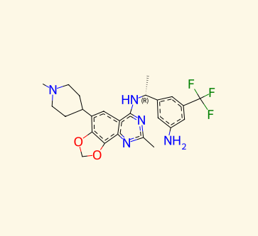 Cc1nc(N[C@H](C)c2cc(N)cc(C(F)(F)F)c2)c2cc(C3CCN(C)CC3)c3c(c2n1)OCO3